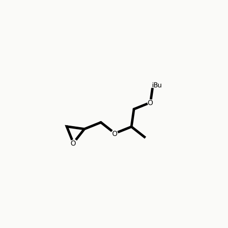 CCC(C)OCC(C)OCC1CO1